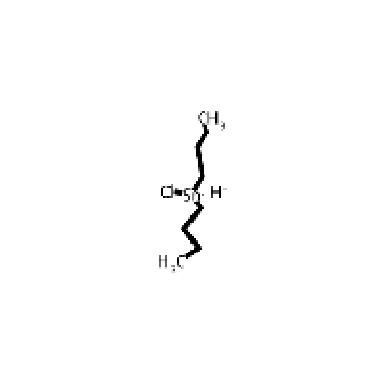 CCC[CH2][Sn]([Cl])[CH2]CCC.[H-]